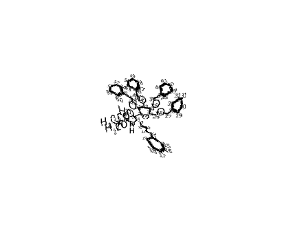 CC(C)(C)OC(=O)N[C@@H](CC=CCCc1ccccc1)C(O)[C@@H]1O[C@H](COCc2ccccc2)[C@H](OCc2ccccc2)[C@H](OCc2ccccc2)[C@H]1OCc1ccccc1